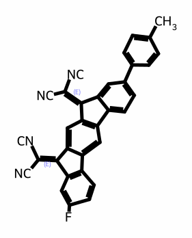 [C-]#[N+]/C(C#N)=C1/c2cc(F)ccc2-c2cc3c(cc21)/C(=C(\C#N)[N+]#[C-])c1cc(-c2ccc(C)cc2)ccc1-3